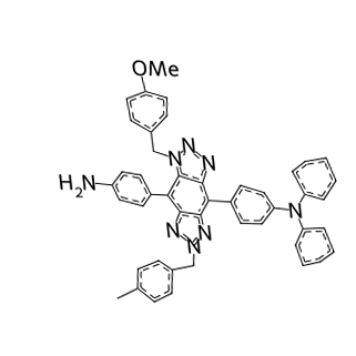 COc1ccc(Cn2nnc3c(-c4ccc(N(c5ccccc5)c5ccccc5)cc4)c4nn(Cc5ccc(C)cc5)nc4c(-c4ccc(N)cc4)c32)cc1